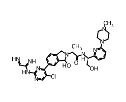 C[C@H](C(=O)N[C@H](CO)c1cccc(N2CCN(C)CC2)n1)N1Cc2ccc(-c3nc(NC(=N)C=N)ncc3Cl)cc2C1O